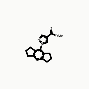 COC(=O)c1cnn(-c2c3c(cc4c2CCC4)CCC3)c1